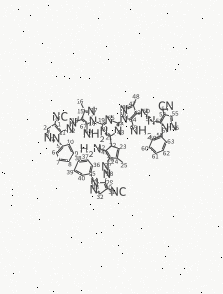 [C-]#[N+]c1cnn(-c2ccccc2)c1N=Nc1c(C)nn(-c2nc(C3C=C(C)C(/N=N/c4c([N+]#[C-])cnn4-c4ccccc4)=C3N)nc(-n3nc(C)c(N=Nc4c(C#N)cnn4-c4ccccc4)c3N)n2)c1N